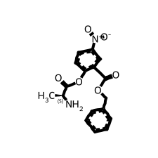 C[C@H](N)C(=O)Oc1ccc([N+](=O)[O-])cc1C(=O)OCc1ccccc1